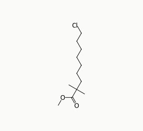 COC(=O)C(C)(C)CCCCCCCCl